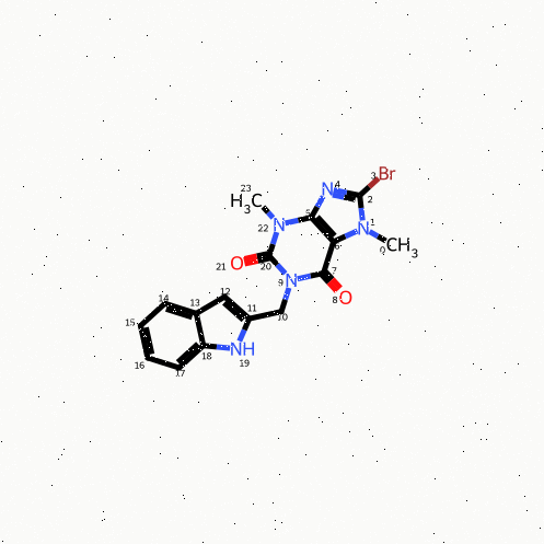 Cn1c(Br)nc2c1c(=O)n(Cc1cc3ccccc3[nH]1)c(=O)n2C